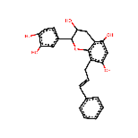 Oc1ccc(C2Oc3c(C/C=C/c4ccccc4)c(O)cc(O)c3CC2O)cc1O